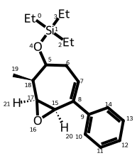 CC[Si](CC)(CC)OC1CC=C(c2ccccc2)[C@H]2O[C@H]2[C@H]1C